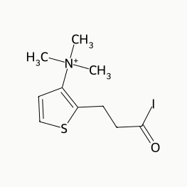 C[N+](C)(C)c1ccsc1CCC(=O)I